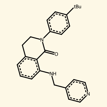 CC(C)(C)c1ccc(N2CCc3cccc(NCc4ccncc4)c3C2=O)cc1